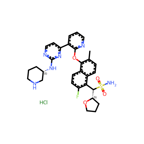 Cc1ccc2c(C([C@@H]3CCCO3)S(N)(=O)=O)c(F)ccc2c1Oc1ncccc1-c1ccnc(N[C@H]2CCCNC2)n1.Cl